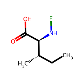 CC[C@H](C)[C@H](NF)C(=O)O